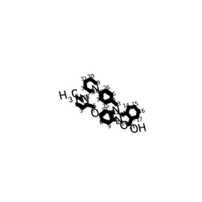 Cn1ccc(COc2ccc3nc(C4CCCCC4C(=O)O)n(Cc4ccc(N5CCCCC5)cc4)c3c2)n1